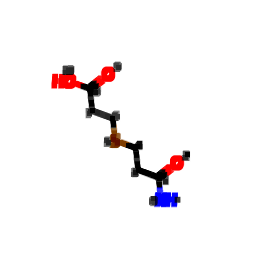 [NH]C(=O)CCSCCC(=O)O